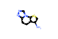 Nc1csc2c1ccc1nncn12